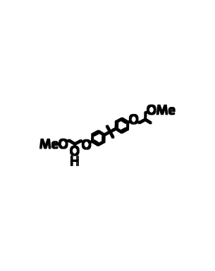 COCC(C)COc1ccc(C(C)(C)c2ccc(OCC(O)COC)cc2)cc1